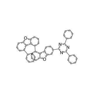 c1ccc(-c2nc(-c3ccccc3)nc(-c3ccc4c(c3)oc3cccc(-c5cccc6oc7cccc(-c8ccccc8)c7c56)c34)n2)cc1